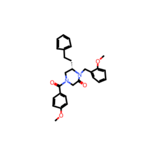 COc1ccc(C(=O)N2CC(=O)N(Cc3ccccc3OC)[C@@H](CCc3ccccc3)C2)cc1